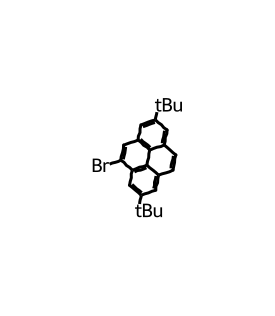 CC(C)(C)c1cc2ccc3cc(C(C)(C)C)cc4c(Br)cc(c1)c2c34